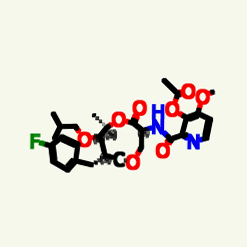 COc1ccnc(C(=O)N[C@H]2COC[C@H](Cc3ccc(F)cc3)[C@@H](OCC(C)C)[C@H](C)OC2=O)c1OC(C)=O